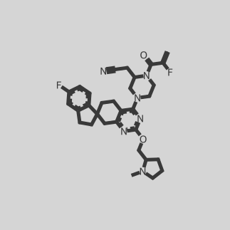 C=C(F)C(=O)N1CCN(c2nc(OCC3CCCN3C)nc3c2CCC2(CCc4cc(F)ccc42)C3)CC1CC#N